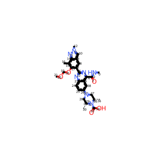 CNC(=O)c1nc(-c2cc3cn(C)nc3c(C)c2OCOC)nc2ccc(N3C[C@@H](C)N(C(=O)O)[C@@H](C)C3)cc12